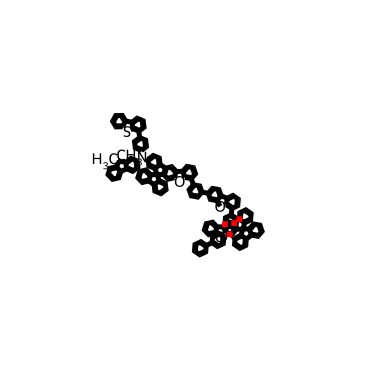 CC1(C)c2ccccc2-c2ccc(N(c3ccc(-c4cccc5c4sc4ccccc45)cc3)c3ccc4c(c3)C3(c5ccccc5-c5ccccc53)c3cc5oc6c(-c7cccc(-c8ccc9c(c8)oc8c(-c%10ccc(N(c%11ccc(-c%12ccccc%12)cc%11)c%11cccc%12c%11C%11(c%13ccccc%13-c%13cc%14c(cc%13%11)oc%11ccccc%11%14)c%11ccccc%11-%12)cc%10)cccc89)c7)cccc6c5cc3-4)cc21